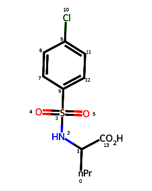 CCCC(NS(=O)(=O)c1ccc(Cl)cc1)C(=O)O